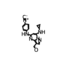 [C-]#[N+]c1ccc(Nc2cc(NC3CC3)n3ncc(C=O)c3n2)cc1